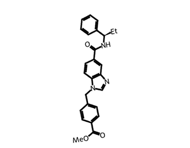 CC[C@@H](NC(=O)c1ccc2c(c1)ncn2Cc1ccc(C(=O)OC)cc1)c1ccccc1